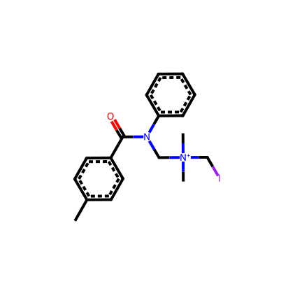 Cc1ccc(C(=O)N(C[N+](C)(C)CI)c2ccccc2)cc1